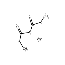 CCC(=O)OC(=O)CC.[Ag]